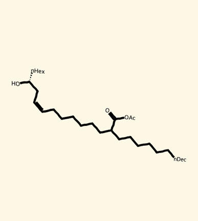 CCCCCCCCCCCCCCCCC(CCCCCC/C=C\C[C@H](O)CCCCCC)C(=O)OC(C)=O